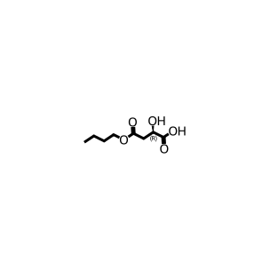 CCCCOC(=O)C[C@@H](O)C(=O)O